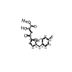 COC(=O)C(O)=CC(=O)c1ccc(Cc2ccc(F)cc2)[nH]1